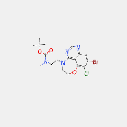 CN(CCN1CCOc2c(Cl)c(Br)cc3ncnc1c23)C(=O)OC(C)(C)C